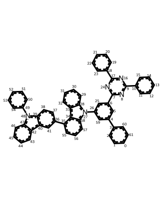 c1ccc(-c2cc(-c3nc(-c4ccccc4)nc(-c4ccccc4)n3)cc(-n3c4ccccc4c4c(-c5ccc6c(c5)c5ccccc5n6-c5ccccc5)cccc43)c2)cc1